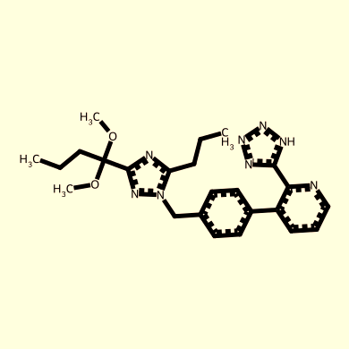 CCCc1nc(C(CCC)(OC)OC)nn1Cc1ccc(-c2cccnc2-c2nnn[nH]2)cc1